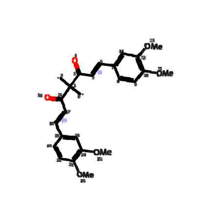 [CH2]C([CH2])(C(=O)/C=C/c1ccc(OC)c(OC)c1)C(=O)/C=C/c1ccc(OC)c(OC)c1